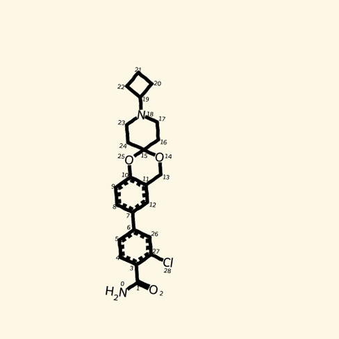 NC(=O)c1ccc(-c2ccc3c(c2)COC2(CCN(C4CCC4)CC2)O3)cc1Cl